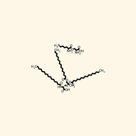 CCCCCCCCCCCCCCCC(=O)N[C@H](CS[C@](C)(COC(=O)CCCCCCCCCCCCCCC)OC(=O)CCCCCCCCCCCCCCC)C(=O)O.NCCCCC(N)C(=O)OC[C@H](N)C(=O)O